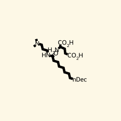 CCCCCCCCCCCCCCCCCC(=O)NCCCN(C)C.NC(CCC(=O)O)C(=O)O